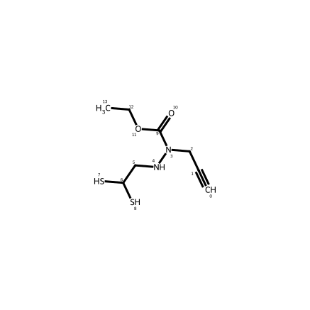 C#CCN(NCC(S)S)C(=O)OCC